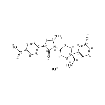 C[C@H]1CN(c2ccc(C(=O)O)cc2)C(=O)N1[C@H]1CC[C@@](CN)(c2cccc(Cl)c2)CC1.Cl